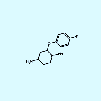 CCCN1CCC(N)CC1Oc1ccc(F)cc1